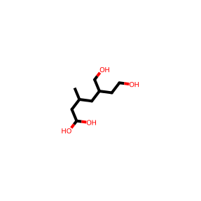 CC(CC(O)O)CC(CO)CCO